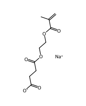 C=C(C)C(=O)OCCOC(=O)CCC(=O)[O-].[Na+]